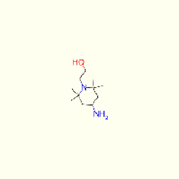 CC1(C)CC(N)CC(C)(C)N1CCO